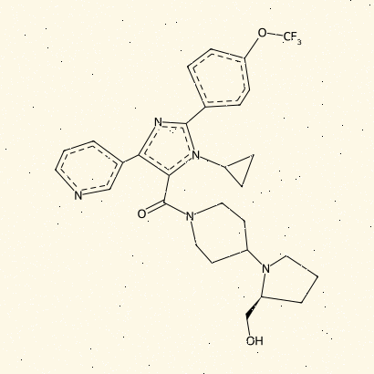 O=C(c1c(-c2cccnc2)nc(-c2ccc(OC(F)(F)F)cc2)n1C1CC1)N1CCC(N2CCC[C@H]2CO)CC1